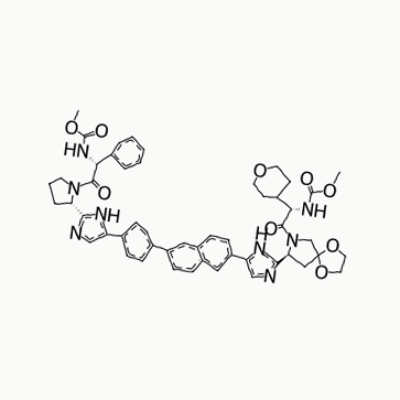 COC(=O)N[C@H](C(=O)N1CC2(C[C@H]1c1ncc(-c3ccc4cc(-c5ccc(-c6cnc([C@@H]7CCCN7C(=O)[C@H](NC(=O)OC)c7ccccc7)[nH]6)cc5)ccc4c3)[nH]1)OCCO2)C1CCOCC1